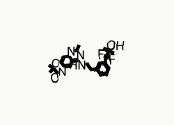 Cc1nc(NCCc2cccc(C(F)(F)C(C)(C)O)c2)c2cc3c(cc2n1)OC(C)(C)C(=O)N3C